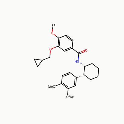 CCOc1ccc(C(=O)N[C@@H]2CCCC[C@@H]2c2ccc(OC)c(OC)c2)cc1OCC1CC1